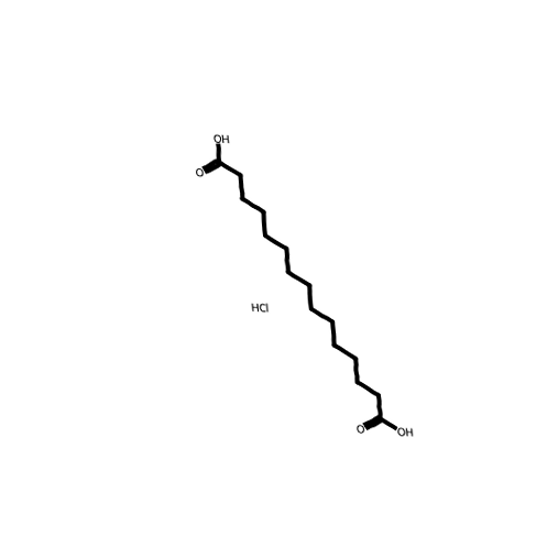 Cl.O=C(O)CCCCCCCCCCCCCC(=O)O